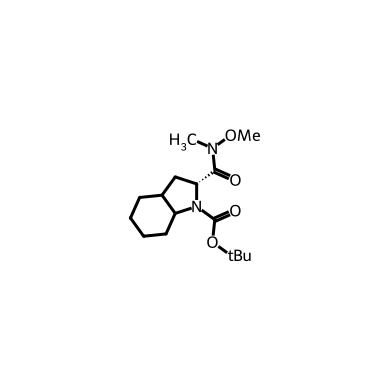 CON(C)C(=O)[C@H]1CC2CCCCC2N1C(=O)OC(C)(C)C